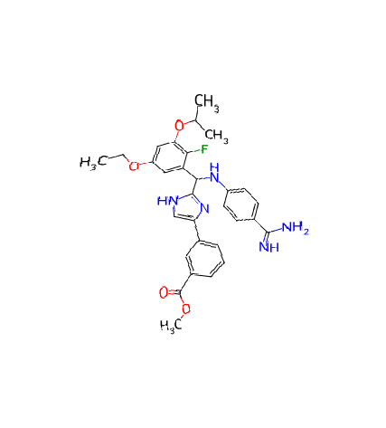 CCOc1cc(OC(C)C)c(F)c(C(Nc2ccc(C(=N)N)cc2)c2nc(-c3cccc(C(=O)OC)c3)c[nH]2)c1